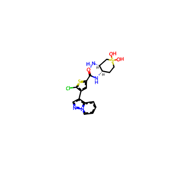 N[C@@H]1CS(O)(O)CC[C@@H]1NC(=O)c1cc(-c2cnn3ccccc23)c(Cl)s1